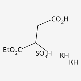 CCOC(=O)C(CC(=O)O)S(=O)(=O)O.[KH].[KH]